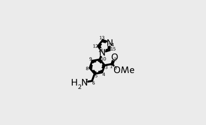 COC(=O)c1cc(CN)ccc1-n1ccnc1